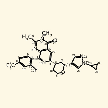 Cc1nc2c(-c3ccc(C(F)(F)F)cc3F)nc([C@H]3CCO[C@@H](c4cnn(C5CC5)c4)C3)cc2c(=O)n1C